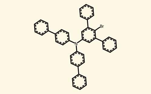 Brc1c(-c2ccccc2)cc(N(c2ccc(-c3ccccc3)cc2)c2ccc(-c3ccccc3)cc2)cc1-c1ccccc1